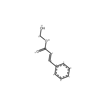 O=C(C=Cc1ccccc1)OCO